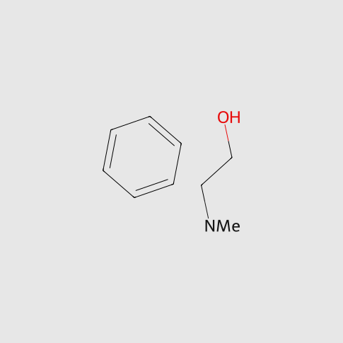 CNCCO.c1ccccc1